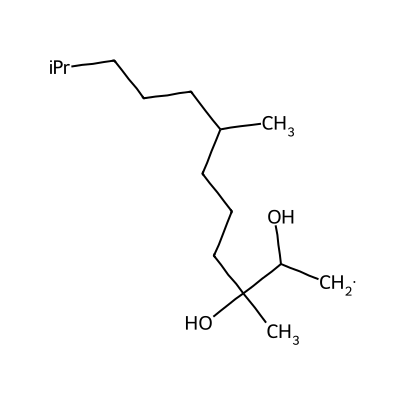 [CH2]C(O)C(C)(O)CCCC(C)CCCC(C)C